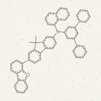 CC1(C)c2cc(-c3cccc4c3oc3ccccc34)ccc2-c2ccc(N(c3cc(-c4ccccc4)cc(-c4ccccc4)c3)c3cccc4ccccc34)cc21